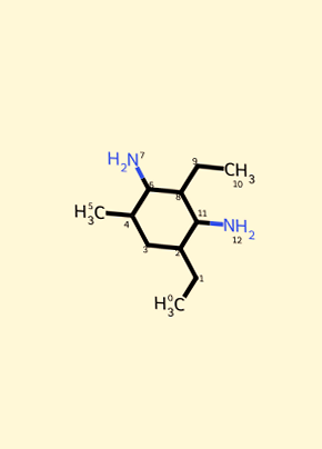 CCC1CC(C)C(N)C(CC)C1N